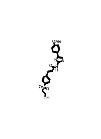 COc1ccc(-c2csc(NC(=O)C=Cc3ccc(S(=O)(=O)CCO)cc3)n2)cc1